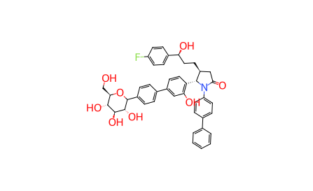 O=C1C[C@H](CC[C@H](O)c2ccc(F)cc2)[C@@H](c2ccc(-c3ccc(C4O[C@H](CO)[C@@H](O)[C@H](O)[C@H]4O)cc3)cc2O)N1c1ccc(-c2ccccc2)cc1